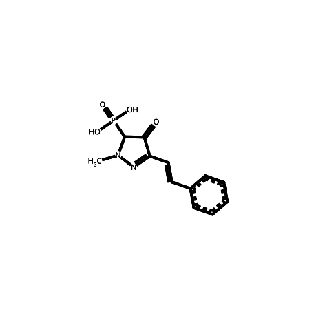 CN1N=C(C=Cc2ccccc2)C(=O)C1P(=O)(O)O